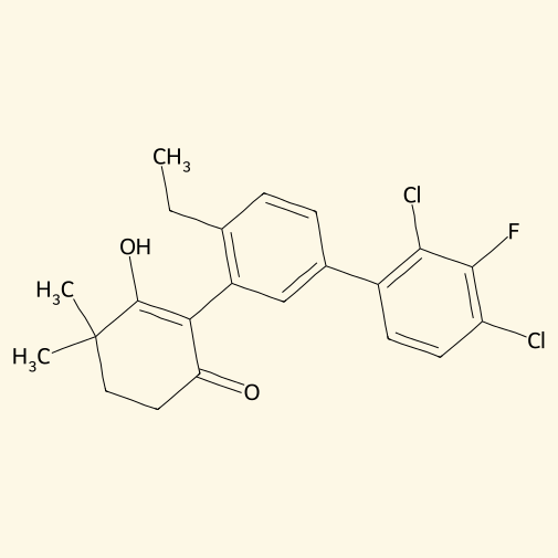 CCc1ccc(-c2ccc(Cl)c(F)c2Cl)cc1C1=C(O)C(C)(C)CCC1=O